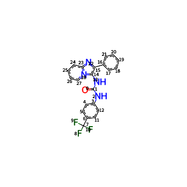 O=C(Nc1ccc(C(F)(F)F)cc1)Nc1c(-c2ccccc2)nc2ccccn12